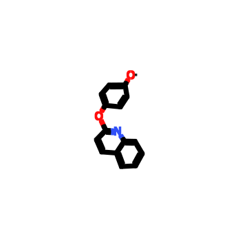 [O]c1ccc(Oc2ccc3ccccc3n2)cc1